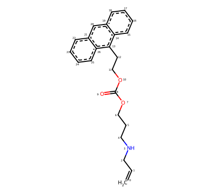 C=CCNCCCOC(=O)OCCc1c2ccccc2cc2ccccc12